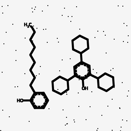 CCCCCCCCCc1ccccc1O.Oc1c(C2CCCCC2)cc(C2CCCCC2)cc1C1CCCCC1